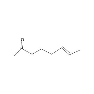 CC=CCCCC(C)=O